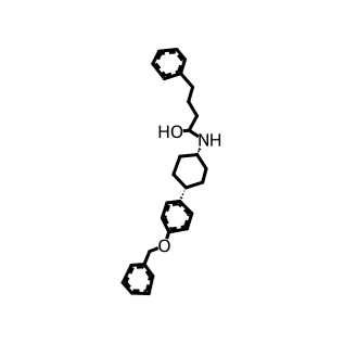 OC(CCCc1ccccc1)N[C@H]1CC[C@@H](c2ccc(OCc3ccccc3)cc2)CC1